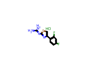 Cl.NC(N)=Nc1nc(-c2ccc(F)cc2F)cs1